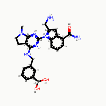 CN1CCc2c(NCc3cccc(B(O)O)c3)nc(-n3c(CN)cc4c(C(N)=O)cccc43)nc21